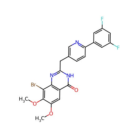 COc1cc2c(=O)[nH]c(Cc3ccc(-c4cc(F)cc(F)c4)nc3)nc2c(Br)c1OC